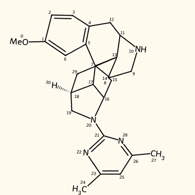 COc1ccc2c(c1)C13CCNC(C2)C12CCC1C3[C@@H](CN1c1nc(C)cc(C)n1)C2